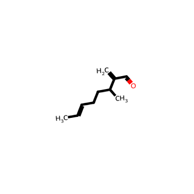 C=C(C=O)C(C)CCC=CC